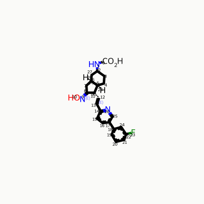 O=C(O)NC1CC[C@@H]2[C@@H](C/C(=N\O)[C@H]2/C=C/c2ccc(-c3cccc(F)c3)cn2)C1